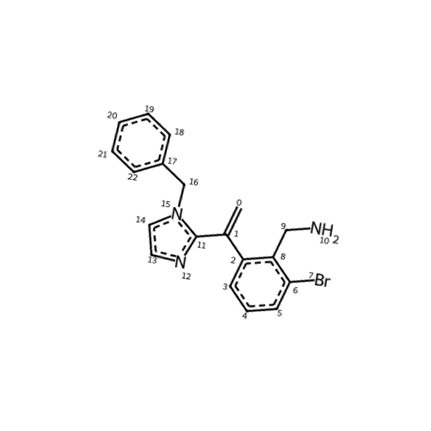 C=C(c1cccc(Br)c1CN)c1nccn1Cc1ccccc1